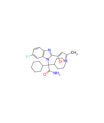 Cc1cc(-c2nc3ccc(F)cc3n2C(C(N)=O)(C2CCCCC2)C2CCCCC2)on1